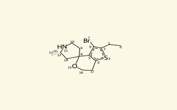 CCc1sc2c(c1Br)C1(CCN[C@@H](C)C1)OCC2